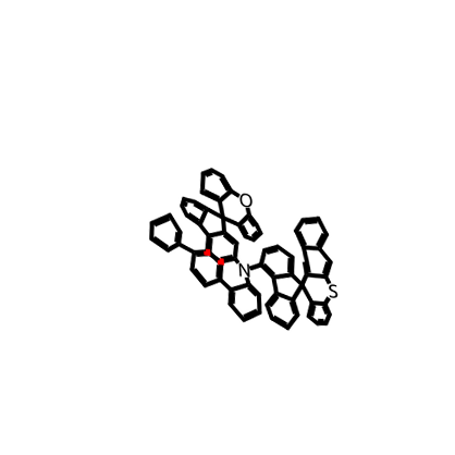 c1ccc(-c2ccc(-c3ccccc3N(c3ccc4c(c3)C3(c5ccccc5Oc5ccccc53)c3ccccc3-4)c3cccc4c3-c3ccccc3C43c4ccccc4Sc4cc5ccccc5cc43)cc2)cc1